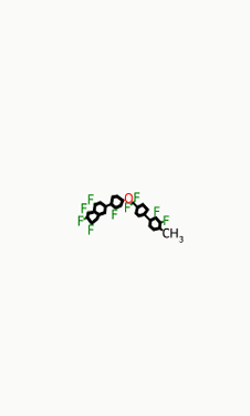 Cc1ccc(-c2ccc(C(F)(F)Oc3ccc(-c4cc(F)c5c(F)c(F)c(F)cc5c4)c(F)c3)cc2)c(F)c1F